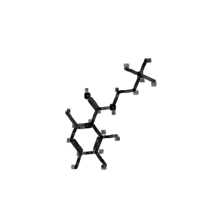 Cc1cc(C)c(C(=O)OCC[Si](C)(C)C)c(C)c1C